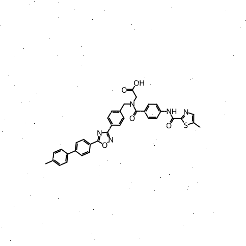 Cc1ccc(-c2ccc(-c3nc(-c4ccc(CN(CC(=O)O)C(=O)c5ccc(NC(=O)c6ncc(C)s6)cc5)cc4)no3)cc2)cc1